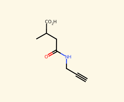 C#CCNC(=O)CC(C)C(=O)O